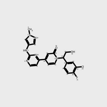 Cn1cc(Nc2nccc(-c3ccn(C(CO)c4ccc(F)c(Cl)c4)c(=O)c3)n2)cn1